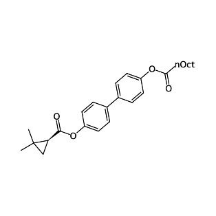 CCCCCCCCC(=O)Oc1ccc(-c2ccc(OC(=O)[C@H]3CC3(C)C)cc2)cc1